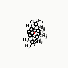 Cc1cc(C)c(B(c2c(C)cc(C)c(Cl)c2C)c2ccc3ccc4ccc(B(c5c(C)cc(C)c(Cl)c5C)c5c(C)cc(C)c(Cl)c5C)c5ccc2c3c45)c(C)c1Cl